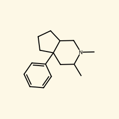 CC1CC2(c3ccccc3)CCCC2CN1C